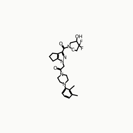 Cc1cccc(N2CCN(C(=O)Cn3nc(C(=O)N4CCC(F)(F)C(O)C4)c4c3CCC4)CC2)c1C